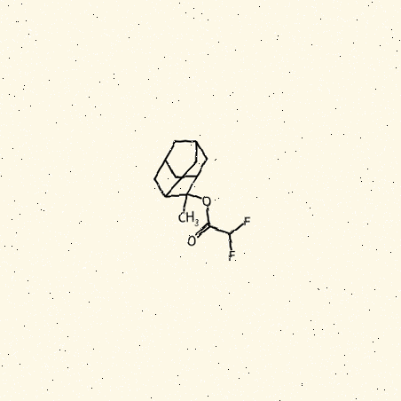 CC1(OC(=O)C(F)F)C2CC3CC(C2)CC1C3